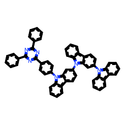 c1ccc(-c2nc(-c3ccccc3)nc(-c3ccc(-n4c5ccccc5c5ccc(-n6c7ccccc7c7ccc(-n8c9ccccc9c9ccccc98)cc76)cc54)cc3)n2)cc1